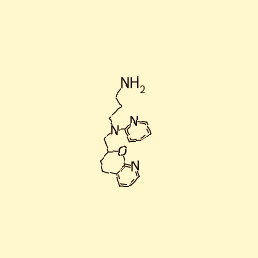 NCCCN(CC1CCc2cccnc2O1)c1ccccn1